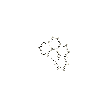 [c]1cc2cccc3c2c2c1ccc1cccc-3c12